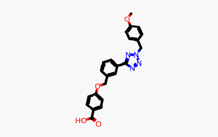 COc1ccc(Cn2nnc(-c3cccc(COc4ccc(C(=O)O)cc4)c3)n2)cc1